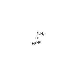 F.F.F.[PbH2]